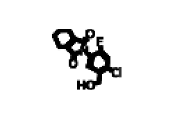 O=C1C2=C(CCCC2)C(=O)N1c1cc(CO)c(Cl)cc1F